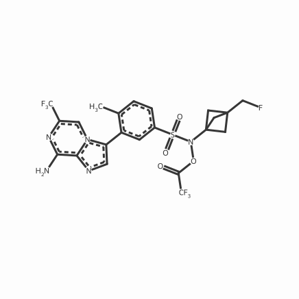 Cc1ccc(S(=O)(=O)N(OC(=O)C(F)(F)F)C23CC(CF)(C2)C3)cc1-c1cnc2c(N)nc(C(F)(F)F)cn12